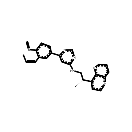 C=Nc1ccc(-c2cc(NC[C@@H](C)c3ccnc4cccnc34)ncn2)cc1/C=C\C